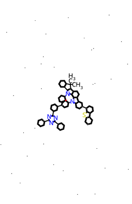 CC1(C)c2ccccc2-c2c1c1ccc3c4cc(-c5cccc6c5sc5ccccc56)ccc4n(-c4ccc(-c5cccc(-c6nc(-c7ccccc7)nc(-c7ccccc7)n6)c5)cc4)c3c1n2-c1ccccc1